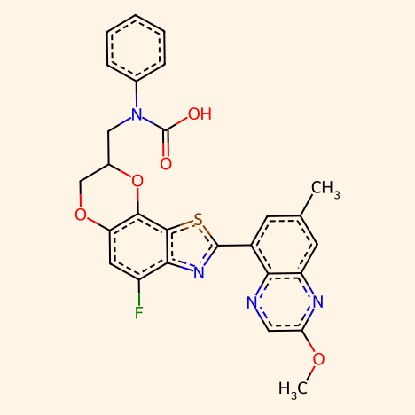 COc1cnc2c(-c3nc4c(F)cc5c(c4s3)OC(CN(C(=O)O)c3ccccc3)CO5)cc(C)cc2n1